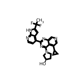 CC(F)(F)c1cc2c(-c3nc(N4CC[C@@H](O)C4)c4c(C5CC5)cncc4n3)ccnc2[nH]1